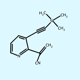 C=C(C#N)c1ncccc1C#C[Si](C)(C)C